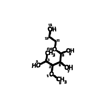 COC(C(C)O)C(O)C(O)OCCO